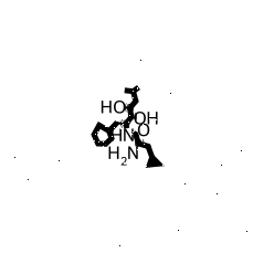 CC(C)C[C@H](O)[C@H](O)[C@H](CC1CCCCC1)NC(=O)[C@H](N)CC1CC1